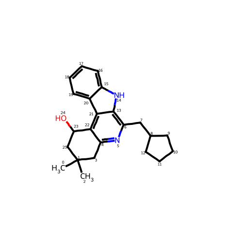 CC1(C)Cc2nc(CC3CCCC3)c3[nH]c4ccccc4c3c2C(O)C1